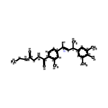 Cc1cc(C(/C=C(\F)c2ccc(C(=O)NCC(=O)NCC(F)(F)F)c(C(F)(F)F)c2)C(F)(F)F)cc(C)c1Cl